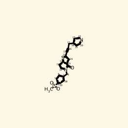 CS(=O)(=O)c1ccc(Cn2ccc3sc(C#CCc4ccncc4)cc3c2=O)cc1